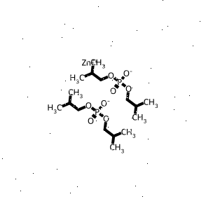 CC(C)COP(=O)([O-])OCC(C)C.CC(C)COP(=O)([O-])OCC(C)C.[Zn+2]